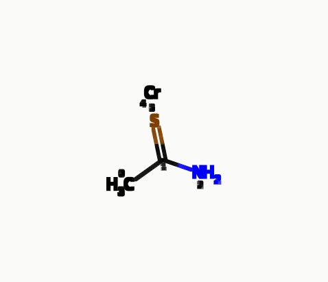 CC(N)=S.[Cr]